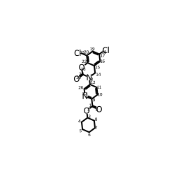 O=C(OC1CCCCC1)c1ccc(N2Cc3cc(Cl)cc(Cl)c3OC2=O)cn1